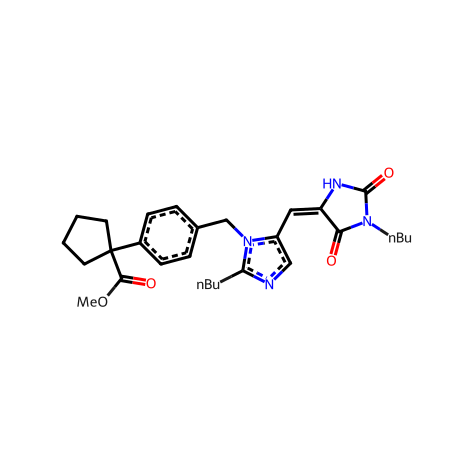 CCCCc1ncc(C=C2NC(=O)N(CCCC)C2=O)n1Cc1ccc(C2(C(=O)OC)CCCC2)cc1